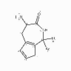 CCC1(C(C)=O)NC(=O)C(N)CC2=C1CC=C2